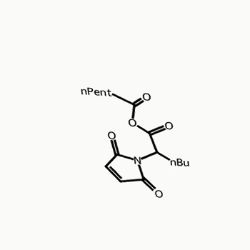 CCCCCC(=O)OC(=O)C(CCCC)N1C(=O)C=CC1=O